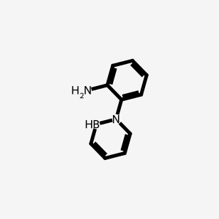 Nc1ccccc1N1BC=CC=C1